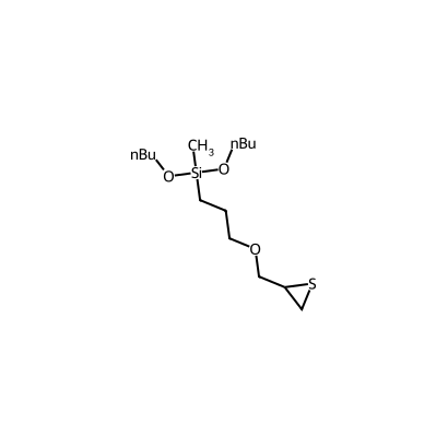 CCCCO[Si](C)(CCCOCC1CS1)OCCCC